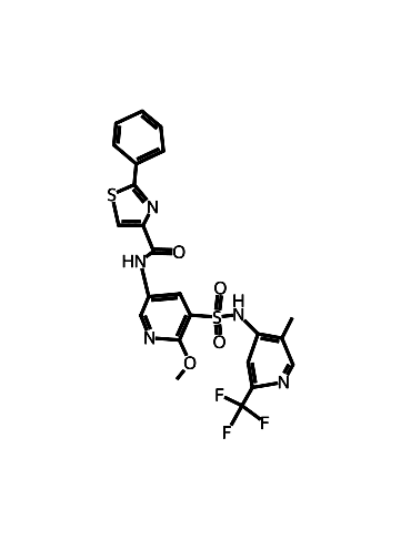 COc1ncc(NC(=O)c2csc(-c3ccccc3)n2)cc1S(=O)(=O)Nc1cc(C(F)(F)F)ncc1C